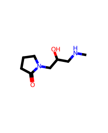 CNCC(O)CN1CCCC1=O